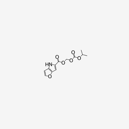 CC(C)OC(=O)OCOC(=O)c1cc2occc2[nH]1